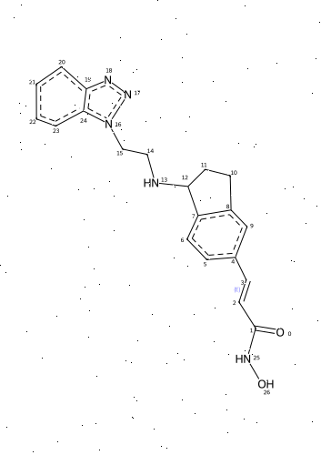 O=C(/C=C/c1ccc2c(c1)CCC2NCCn1nnc2ccccc21)NO